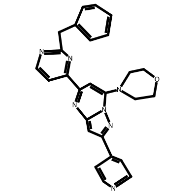 c1ccc(Cc2nccc(-c3cc(N4CCOCC4)n4nc(-c5ccncc5)cc4n3)n2)cc1